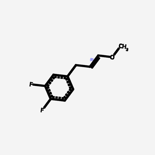 CO/C=C/Cc1ccc(F)c(F)c1